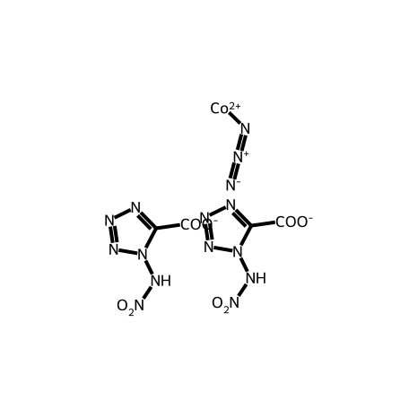 O=C([O-])c1nnnn1N[N+](=O)[O-].O=C([O-])c1nnnn1N[N+](=O)[O-].[N-]=[N+]=[N][Co+2]